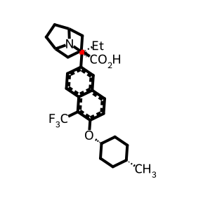 CC[C@H](c1ccc2c(C(F)(F)F)c(O[C@H]3CC[C@@H](C)CC3)ccc2c1)N1C2CCC1CC(C(=O)O)C2